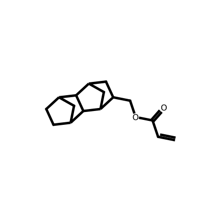 C=CC(=O)OCC1CC2CC1C1C3CCC(C3)C21